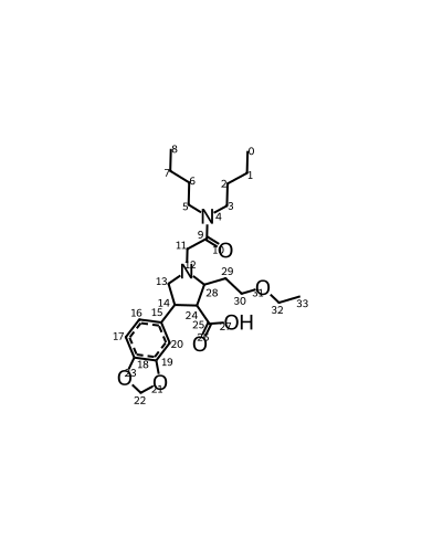 CCCCN(CCCC)C(=O)CN1CC(c2ccc3c(c2)OCO3)C(C(=O)O)C1CCOCC